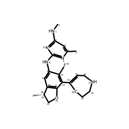 CNc1cc(C)nc(Nc2cc3c(c(C4=CCNCCC4)c2F)OC[C@@H]3C)n1